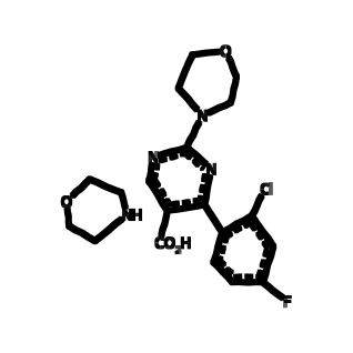 C1COCCN1.O=C(O)c1cnc(N2CCOCC2)nc1-c1ccc(F)cc1Cl